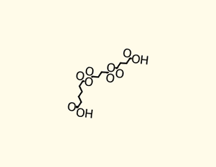 O=C(O)CCCCC(=O)OC(=O)CCC(=O)OC(=O)CCC(=O)O